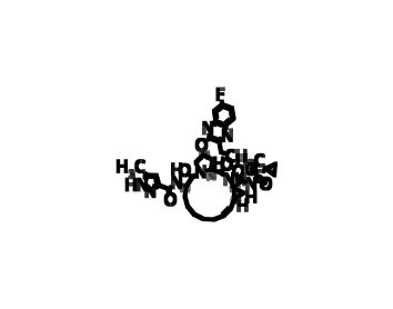 CCc1nc2ccc(F)cc2nc1O[C@@H]1C[C@H]2C(=O)N[C@]3(C(=O)NS(=O)(=O)C4(C)CC4)C[C@H]3C=CCCCCC[C@H](NC(=O)c3cc(C)[nH]n3)C(=O)N2C1